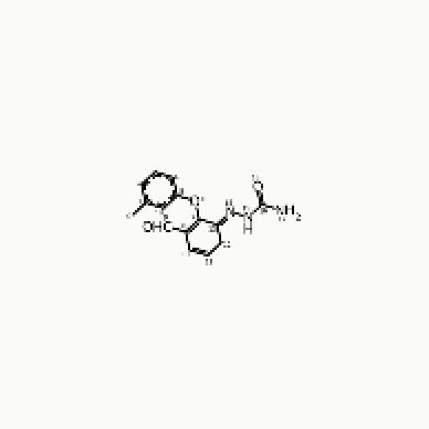 Cc1cccc(OC2=C(C=O)C=CCC2=NNC(N)=O)c1